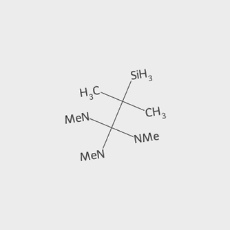 CNC(NC)(NC)C(C)(C)[SiH3]